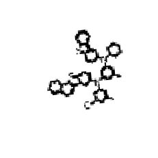 Cc1cc(Cl)cc(N(c2cc(C)cc(N(c3ccccc3)c3ccc4sc5ccccc5c4c3)c2)c2ccc3sc4c5ccccc5ccc4c3c2)c1